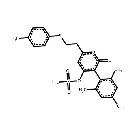 Cc1ccc(SCCc2cc(OS(C)(=O)=O)c(-c3c(C)cc(C)cc3C)c(=O)o2)cc1